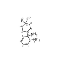 NC1C=CC=CC1(N)C1CCC(F)(F)CC1